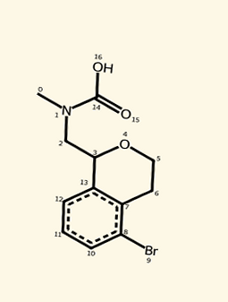 CN(CC1OCCc2c(Br)cccc21)C(=O)O